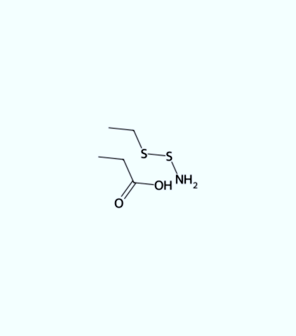 CCC(=O)O.CCSSN